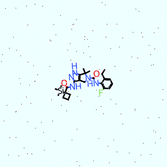 CCc1cccc(F)c1NC(=O)N1Cc2c(NC(=O)C3([Si](C)(C)C)CCC3)n[nH]c2C1(C)C